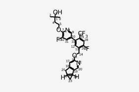 CC(C)(O)CCOc1ncc(-c2cc(COc3cc4c(cn3)[C@@H]3C[C@@H]3C4)c(F)cc2C(F)(F)F)cc1F